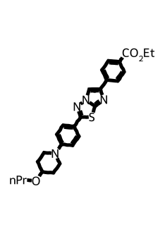 CCCOC1CCN(c2ccc(-c3nn4cc(-c5ccc(C(=O)OCC)cc5)nc4s3)cc2)CC1